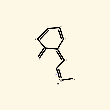 C=c1cccc/c1=C/C=N\C